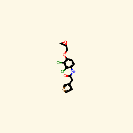 O=C(Cc1ccsc1)Nc1ccc(OCC2CO2)c(Cl)c1Cl